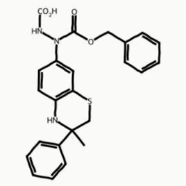 CC1(c2ccccc2)CSc2cc(N(NC(=O)O)C(=O)OCc3ccccc3)ccc2N1